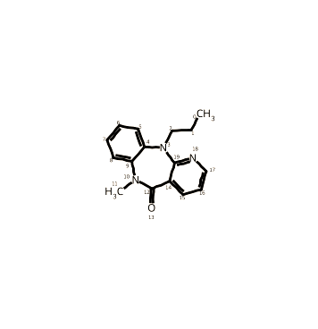 CCCN1c2ccccc2N(C)C(=O)c2cccnc21